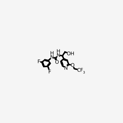 O=C(Nc1cc(F)cc(F)c1)NC(CO)c1ccnc(OCC(F)(F)F)c1